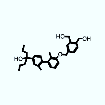 CCCC(O)(CCC)c1ccc(-c2cccc(OCc3ccc(CO)c(CO)c3)c2C)c(C)c1